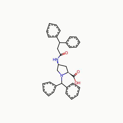 O=C(CC(c1ccccc1)c1ccccc1)N[C@H]1C[C@@H](C(=O)O)N(C(c2ccccc2)c2ccccc2)C1